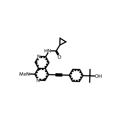 CNc1ncc(C#Cc2ccc(C(C)(C)O)cc2)c2cc(NC(=O)C3CC3)ncc12